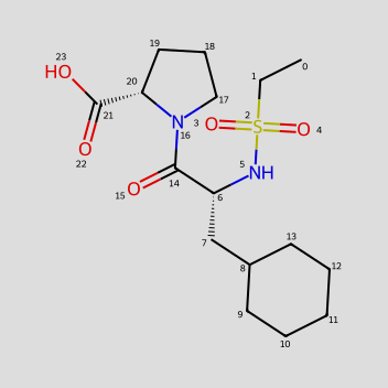 CCS(=O)(=O)N[C@H](CC1CCCCC1)C(=O)N1CCC[C@H]1C(=O)O